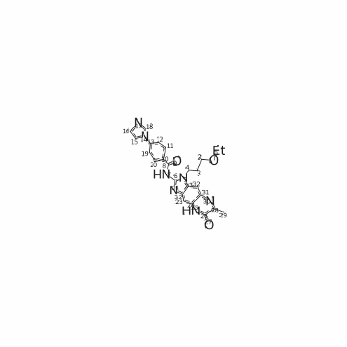 CCOCCCn1c(NC(=O)c2ccc(-n3ccnc3)cc2)nc2cc3[nH]c(=O)c(C)nc3cc21